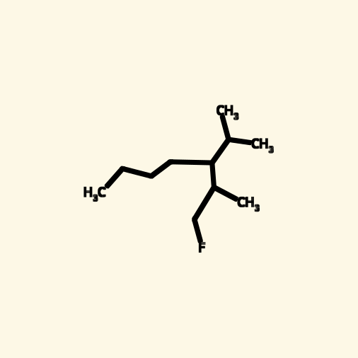 CCCCC(C(C)C)C(C)CF